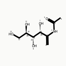 C=C(NC(C)=O)[C@@H](O)[C@H](O)[C@H](O)CO